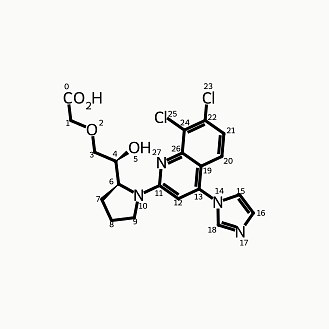 O=C(O)COC[C@@H](O)[C@@H]1CCCN1c1cc(-n2ccnc2)c2ccc(Cl)c(Cl)c2n1